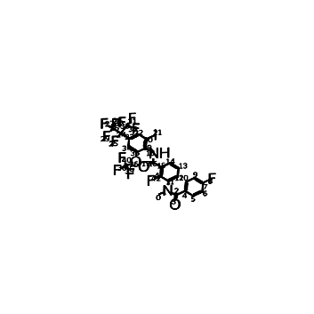 CN(C(=O)c1ccc(F)cc1)c1cccc(C(=O)Nc2c(I)cc(C(F)(C(F)(F)F)C(F)(F)F)cc2OC(F)(F)F)c1F